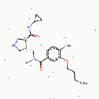 COCCCOc1cc(C(=O)N(C[C@@H]2CNC[C@H]2C(=O)NC2CC2)C(C)C)ccc1OC